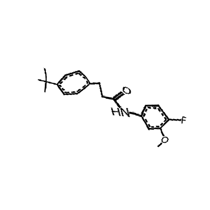 COc1cc(NC(=O)CCc2ccc(C(C)(C)C)cc2)ccc1F